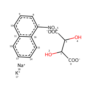 O=C([O-])C(O)C(O)C(=O)[O-].O=[N+]([O-])c1cccc2ccccc12.[K+].[Na+]